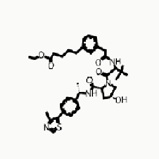 CCOC(=O)CCCCc1cccc(CC(=O)N[C@H](C(=O)N2C[C@H](O)C[C@H]2C(=O)N[C@@H](C)c2ccc(-c3scnc3C)cc2)C(C)(C)C)c1